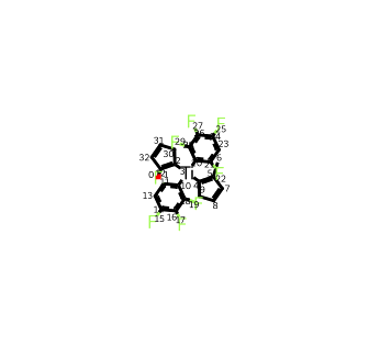 CC1=[C]([Ti]([C]2=C(C)C=CC2)([c]2c(F)cc(F)c(F)c2F)[c]2c(F)cc(F)c(F)c2F)CC=C1